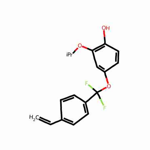 C=Cc1ccc(C(F)(F)Oc2ccc(O)c(OC(C)C)c2)cc1